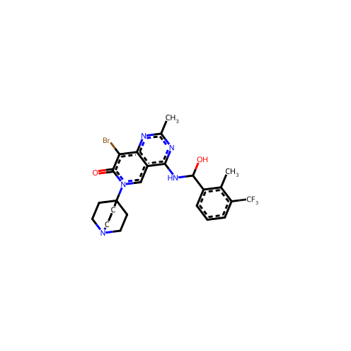 Cc1nc(NC(O)c2cccc(C(F)(F)F)c2C)c2cn(C34CCN(CC3)CC4)c(=O)c(Br)c2n1